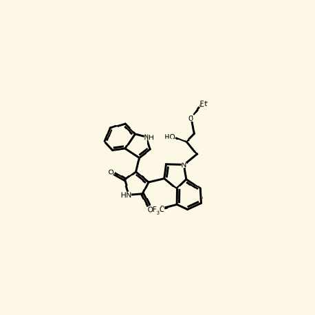 CCOCC(O)Cn1cc(C2=C(c3c[nH]c4ccccc34)C(=O)NC2=O)c2c(C(F)(F)F)cccc21